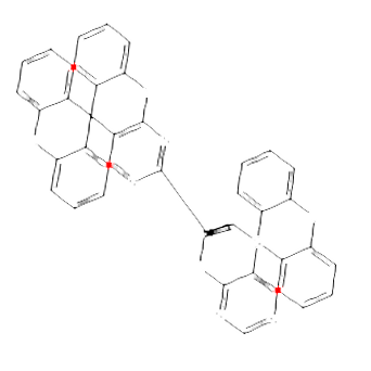 c1ccc2c(c1)Oc1ccccc1[Si]21c2ccc(-c3ncc4c(n3)Sc3ccccc3C43c4ccccc4Sc4ccccc43)cc2Oc2ncncc21